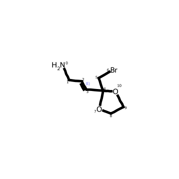 NC/C=C/C1(CBr)OCCO1